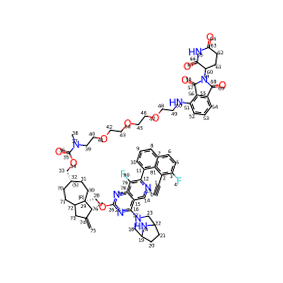 C#Cc1c(F)ccc2cccc(-c3ncc4c(N5CC6CCC(C5)N6)nc(OC[C@@]56CC[C@@H](COC(=O)N(C)CCOCCOCCOCCNc7cccc8c7C(=O)N(C7CCC(=O)NC7=O)C8=O)CCC5CC(=C)C6)nc4c3F)c12